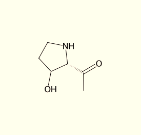 CC(=O)[C@H]1NCCC1O